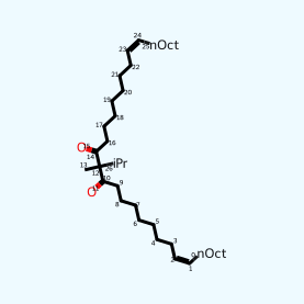 CCCCCCCC/C=C\CCCCCCCC(=O)C(C)(C(=O)CCCCCCC/C=C\CCCCCCCC)C(C)C